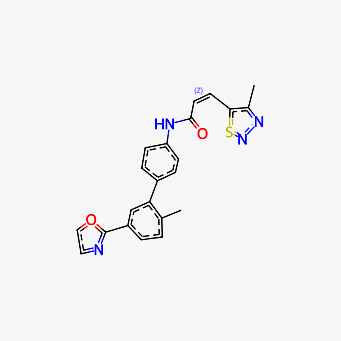 Cc1ccc(-c2ncco2)cc1-c1ccc(NC(=O)/C=C\c2snnc2C)cc1